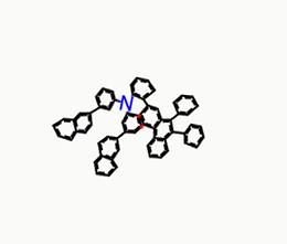 c1ccc(-c2c(-c3ccccc3)c3cc(-c4ccccc4N(c4cccc(-c5ccc6ccccc6c5)c4)c4cccc(-c5ccc6ccccc6c5)c4)ccc3c3ccccc23)cc1